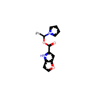 CC(C)C(OC(=O)c1cc2occc2[nH]1)n1cccc1